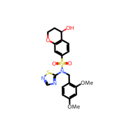 COc1ccc(CN(c2ncns2)S(=O)(=O)c2ccc3c(c2)OCC[C@H]3O)c(OC)c1